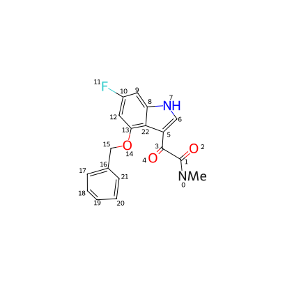 CNC(=O)C(=O)c1c[nH]c2cc(F)cc(OCc3ccccc3)c12